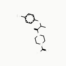 CC(Oc1ccc(Br)cc1)C(=O)N1CCN(C(=O)O)CC1